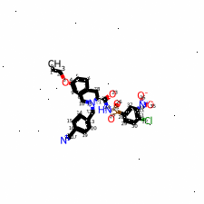 CCCOc1ccc2c(c1)CN(Cc1ccc(C#N)cc1)[C@H](C(=O)NS(=O)(=O)c1ccc(Cl)c([N+](=O)[O-])c1)C2